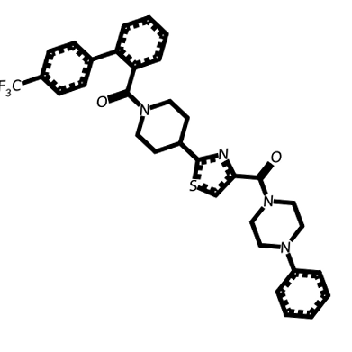 O=C(c1csc(C2CCN(C(=O)c3ccccc3-c3ccc(C(F)(F)F)cc3)CC2)n1)N1CCN(c2ccccc2)CC1